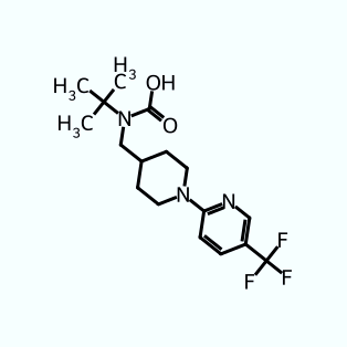 CC(C)(C)N(CC1CCN(c2ccc(C(F)(F)F)cn2)CC1)C(=O)O